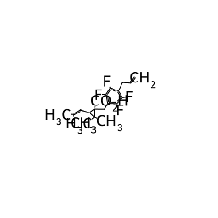 C=CCc1c(F)c(F)c(C[C@]2(C(=O)O)[C@H](C=C(C)C)C2(C)C)c(F)c1F